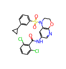 O=C(Nc1cnc2c(c1)N(S(=O)(=O)c1cccc(C3CC3)c1)CCO2)c1c(Cl)cccc1Cl